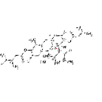 COC(=O)[C@@]12OC[C@]34C([C@@H](O)[C@@H]1O)[C@@]1(C)CC(=O)C(OC(=O)C[C@@H](N)C(C)C)=C(C)C1C[C@H]3OC(=O)[C@H](OC(=O)C=C(C)C)[C@@H]24